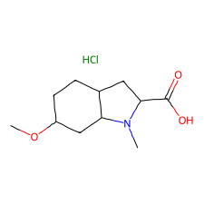 COC1CCC2CC(C(=O)O)N(C)C2C1.Cl